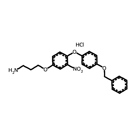 Cl.NCCCOc1ccc(Oc2ccc(OCc3ccccc3)cc2)c([N+](=O)[O-])c1